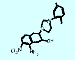 Cc1ccc(C)c(N2CCN(C3Cc4ccc([N+](=O)[O-])c(N)c4CC3O)CC2)c1